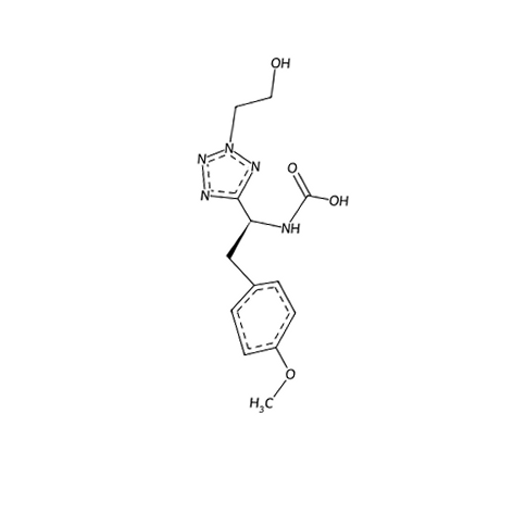 COc1ccc(C[C@H](NC(=O)O)c2nnn(CCO)n2)cc1